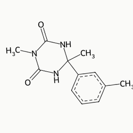 Cc1cccc(C2(C)NC(=O)N(C)C(=O)N2)c1